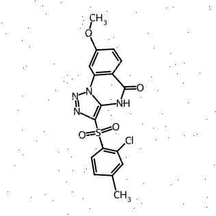 COc1ccc2c(=O)[nH]c3c(S(=O)(=O)c4ccc(C)cc4Cl)nnn3c2c1